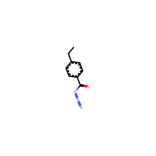 [CH2]Cc1ccc(C(=O)N=[N+]=[N-])cc1